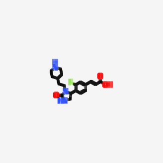 O=C(O)C=Cc1ccc(C2CNC(=O)N2CCC2CCNCC2)c(F)c1